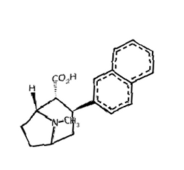 CN1C2CC[C@@H]1[C@H](C(=O)O)[C@@H](c1ccc3ccccc3c1)C2